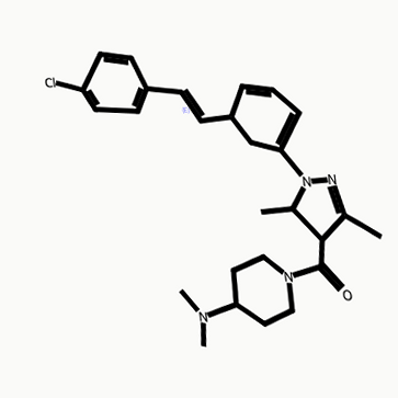 CC1=NN(C2=CC=CC(/C=C/c3ccc(Cl)cc3)C2)C(C)C1C(=O)N1CCC(N(C)C)CC1